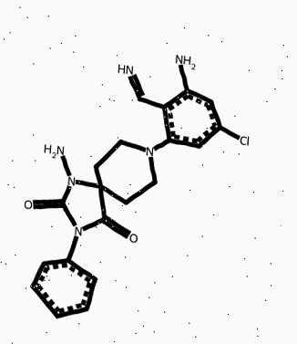 N=Cc1c(N)cc(Cl)cc1N1CCC2(CC1)C(=O)N(c1ccccc1)C(=O)N2N